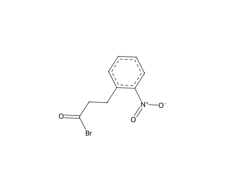 O=C(Br)CCc1ccccc1[N+](=O)[O-]